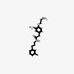 Cc1cccc(CCCNC(=O)Cc2ccc(OCCN)c(N)c2)c1